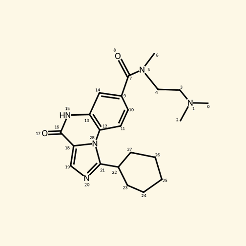 CN(C)CCN(C)C(=O)c1ccc2c(c1)[nH]c(=O)c1cnc(C3CCCCC3)n12